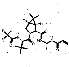 C=CC(=O)N[C@H](C)NC(=O)[C@@H]1[C@@H]2[C@H](CN1C(=O)[C@@H](NC(=O)C(F)(F)F)C(C)(C)C)C2(C)C